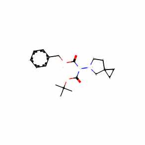 CC(C)(C)OC(=O)N(C(=O)OCc1ccccc1)N1CCC2(CC2)C1